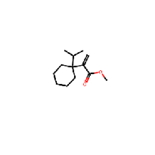 C=C(C(=O)OC)C1(C(C)C)CCCCC1